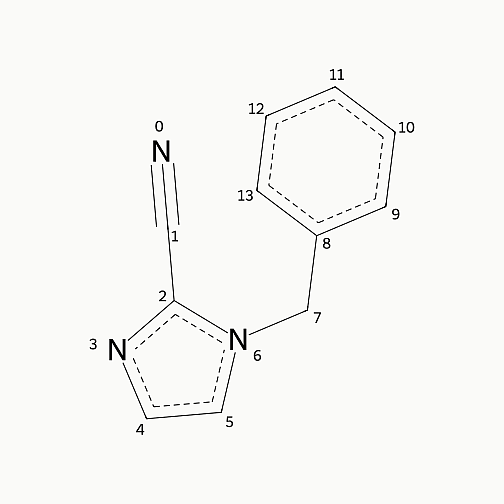 N#Cc1nccn1Cc1ccccc1